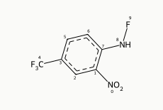 O=[N+]([O-])c1cc(C(F)(F)F)ccc1NF